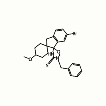 COC1CCC2(CC1)Cc1ccc(Br)cc1C21NC(=S)N(Cc2ccccc2)CO1